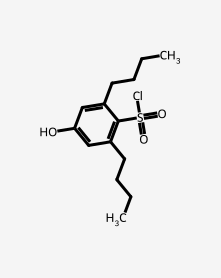 CCCCc1cc(O)cc(CCCC)c1S(=O)(=O)Cl